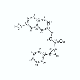 Nc1ccc2cnc(COC(=O)[C@@H]3C[C@H]3c3ccccc3)cc2c1